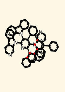 c1ccc(-c2cc(-c3ccccc3)nc(-c3ccccc3-c3c(-n4c5ccccc5c5ccncc54)c(-n4c5ccccc5c5ccncc54)nc(-n4c5ccccc5c5ccncc54)c3-n3c4ccccc4c4ccncc43)n2)cc1